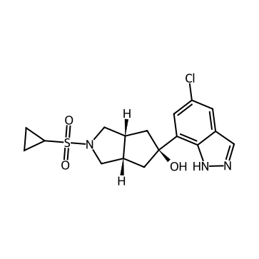 O=S(=O)(C1CC1)N1C[C@@H]2C[C@](O)(c3cc(Cl)cc4cn[nH]c34)C[C@@H]2C1